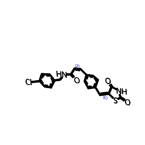 O=C(/C=C\c1ccc(/C=C2/SC(=O)NC2=O)cc1)NCc1ccc(Cl)cc1